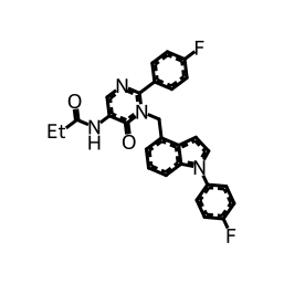 CCC(=O)Nc1cnc(-c2ccc(F)cc2)n(Cc2cccc3c2ccn3-c2ccc(F)cc2)c1=O